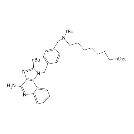 CCCCCCCCCCCCCCCCCN(Cc1ccc(Cn2c(CCCC)nc3c(N)nc4ccccc4c32)cc1)C(C)(C)C